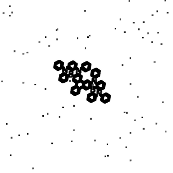 c1ccc(N2c3ccccc3B3c4cc5c6ccccc6c6cc7c(cc6c5cc4N(c4ccccc4)c4cccc2c43)N(c2ccccc2)c2cccc3c2B7c2ccccc2N3c2ccccc2)cc1